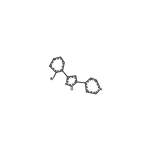 Brc1ccccc1-c1cc(-c2ccncc2)[nH]n1